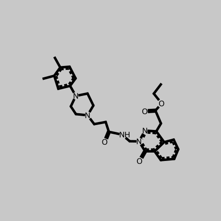 CCOC(=O)Cc1nn(CNC(=O)CCN2CCN(c3ccc(C)c(C)c3)CC2)c(=O)c2ccccc12